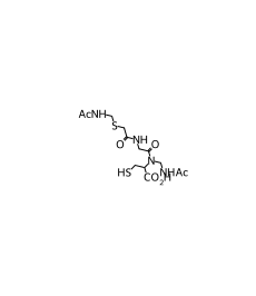 CC(=O)NCSCC(=O)NCC(=O)N(CNC(C)=O)C(CS)C(=O)O